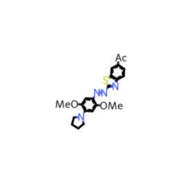 COc1cc(N2CCCC2)c(OC)cc1/N=N/c1nc2ccc(C(C)=O)cc2s1